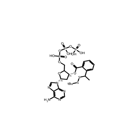 CC(SSC(C)(C)C)c1ccccc1C(=O)O[C@@H]1C[C@H](n2cnc3c(N)ncnc32)OC1COP(=O)(O)OP(=O)(O)OP(=O)(O)O